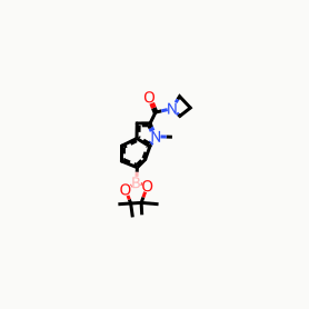 Cn1c(C(=O)N2CCC2)cc2ccc(B3OC(C)(C)C(C)(C)O3)cc21